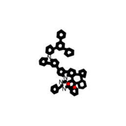 c1ccc(-c2cc(-c3ccccc3)cc(-c3cccc(-n4c5ccccc5c5cc(-c6ccc7c(c6)c6ccc8c(c6n7-c6nc(-c7ccccc7)nc(-c7ccccc7)n6)-c6ccccc6C6CCCCC6c6ccccc6-8)ccc54)c3)c2)cc1